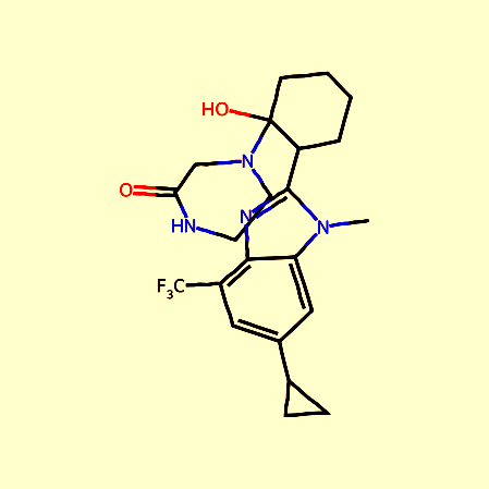 Cn1c(C2CCCCC2(O)N2CCNC(=O)C2)nc2c(C(F)(F)F)cc(C3CC3)cc21